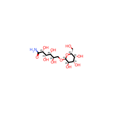 NC(=O)[C@H](O)[C@@H](O)[C@H](O)[C@H](O)CO[C@H]1O[C@H](CO)[C@H](O)[C@H](O)[C@H]1O